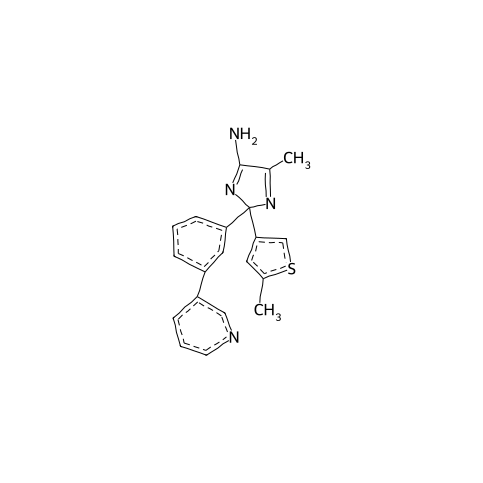 CC1=NC(c2cccc(-c3cccnc3)c2)(c2csc(C)c2)N=C1N